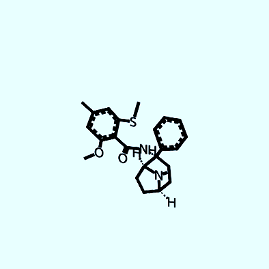 COc1cc(C)cc(SC)c1C(=O)N[C@]1(c2ccccc2)CC[C@H]2CC[C@@H]1N2C